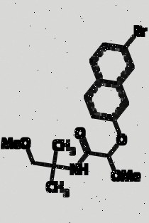 COCC(C)(C)NC(=O)C(OC)Oc1ccc2ccc(Br)cc2c1